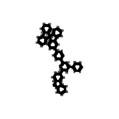 c1ccc(-c2nc(-c3ccc(-c4ccc5c(c4)-c4ccccc4C54c5ccccc5-c5ccccc54)cc3)nc(-c3ccc4oc5ccccc5c4c3)n2)cc1